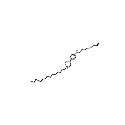 C=CCCCCCCOc1ccc(N2CCN(CCCCCCCCCCCCCC)CC2)cc1